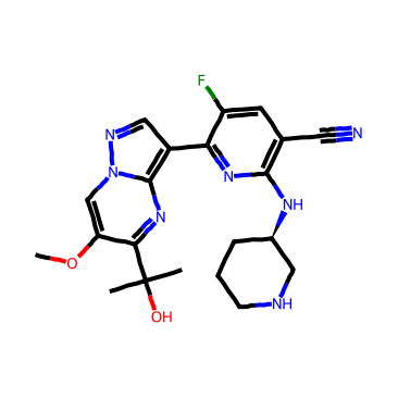 COc1cn2ncc(-c3nc(N[C@@H]4CCCNC4)c(C#N)cc3F)c2nc1C(C)(C)O